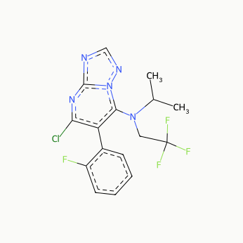 CC(C)N(CC(F)(F)F)c1c(-c2ccccc2F)c(Cl)nc2ncnn12